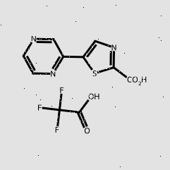 O=C(O)C(F)(F)F.O=C(O)c1ncc(-c2cnccn2)s1